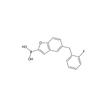 OB(O)c1cc2cc(Cc3ccccc3F)ccc2o1